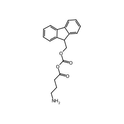 NCCCC(=O)OC(=O)OCC1c2ccccc2-c2ccccc21